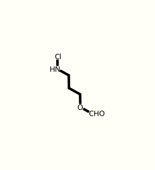 O=COCCCNCl